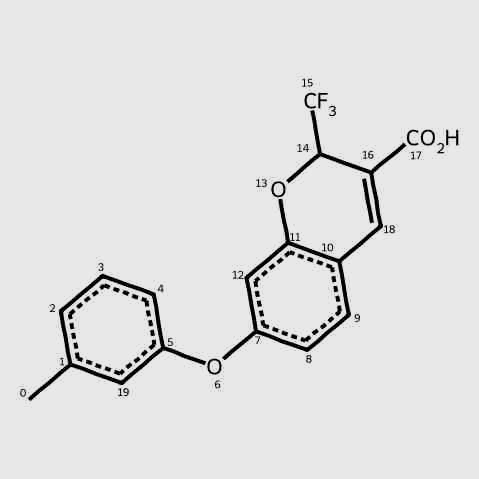 Cc1cccc(Oc2ccc3c(c2)OC(C(F)(F)F)C(C(=O)O)=C3)c1